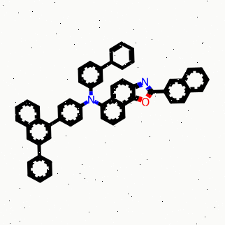 C1=CCC(c2cccc(N(c3ccc(-c4cc(-c5ccccc5)cc5ccccc45)cc3)c3cccc4c3ccc3nc(-c5ccc6ccccc6c5)oc34)c2)C=C1